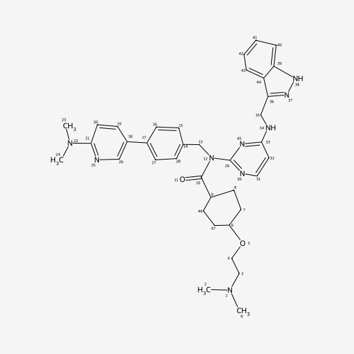 CN(C)CCOC1CCC(C(=O)N(Cc2ccc(-c3ccc(N(C)C)nc3)cc2)c2nccc(NCc3n[nH]c4ccccc34)n2)CC1